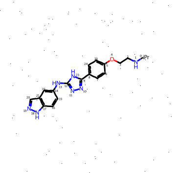 CC(C)NCCOc1ccc(-c2nnc(Nc3ccc4[nH]ncc4c3)[nH]2)cc1